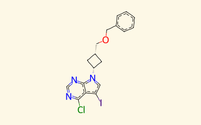 Clc1ncnc2c1c(I)cn2[C@H]1C[C@@H](COCc2ccccc2)C1